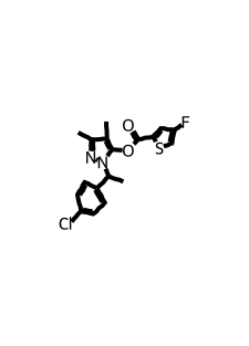 Cc1nn(C(C)c2ccc(Cl)cc2)c(OC(=O)c2cc(F)cs2)c1C